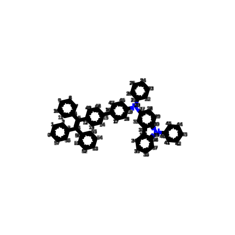 c1ccc(C(=C(c2ccccc2)c2ccc(-c3ccc(N(c4ccccc4)c4ccc5c(c4)c4ccccc4n5-c4ccccc4)cc3)cc2)c2ccccc2)cc1